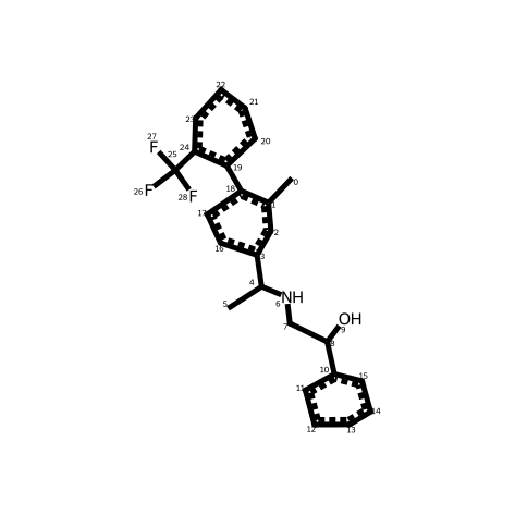 Cc1cc(C(C)NCC(O)c2ccccc2)ccc1-c1ccccc1C(F)(F)F